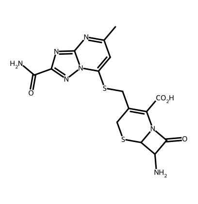 Cc1cc(SCC2=C(C(=O)O)N3C(=O)C(N)C3SC2)n2nc(C(N)=O)nc2n1